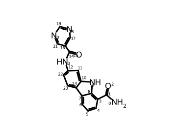 NC(=O)c1cccc2c1[nH]c1cc(NC(=O)c3cncnc3)ccc12